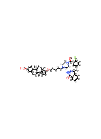 C[C@]12CC[C@@H]3c4ccc(O)cc4CC[C@H]3[C@@H]1CC[C@@H]2OCCCCCN1CCN(C(=O)c2cc(Cc3n[nH]c(=O)c4ccccc34)ccc2F)CC1